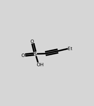 CCC#CS(=O)(=O)O